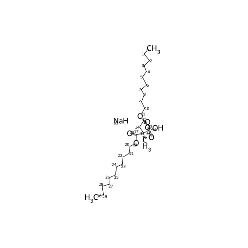 CCCCCCCCCCCOC(=O)CC(C)(C(=O)OCCCCCCCCCCC)S(=O)(=O)O.[NaH]